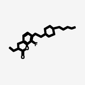 CCCCCC1CCC(CCc2ccc3c(c2F)OC(=O)C(CC)C3)CC1